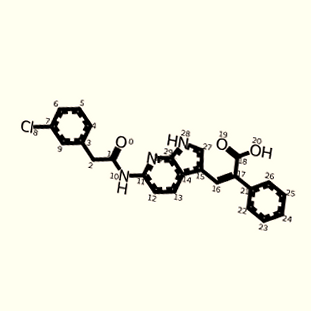 O=C(Cc1cccc(Cl)c1)Nc1ccc2c(C=C(C(=O)O)c3ccccc3)c[nH]c2n1